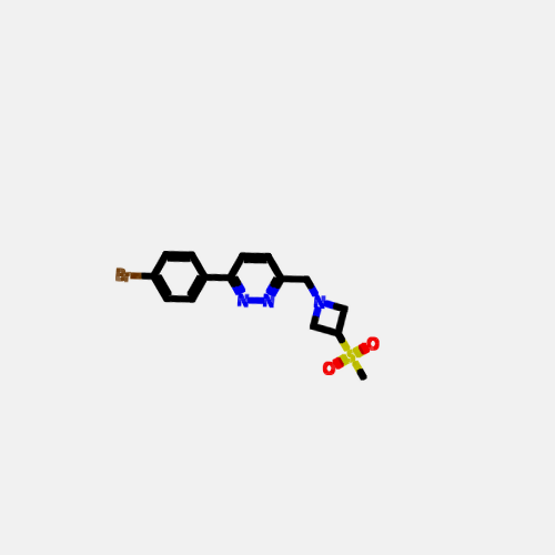 CS(=O)(=O)C1CN(Cc2ccc(-c3ccc(Br)cc3)nn2)C1